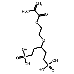 C=C(C)C(=O)OCCOC(CCP(=O)(O)O)CCP(=O)(O)O